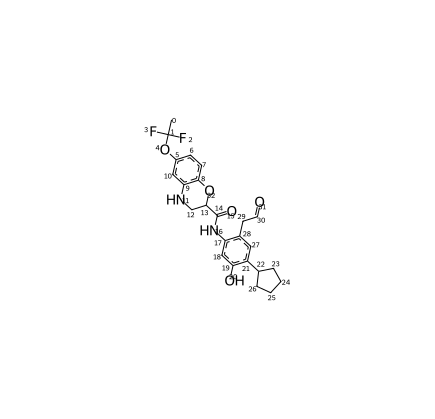 CC(F)(F)Oc1ccc2c(c1)NCC(C(=O)Nc1cc(O)c(C3CCCC3)cc1CC=O)O2